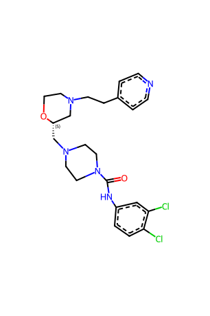 O=C(Nc1ccc(Cl)c(Cl)c1)N1CCN(C[C@H]2CN(CCc3ccncc3)CCO2)CC1